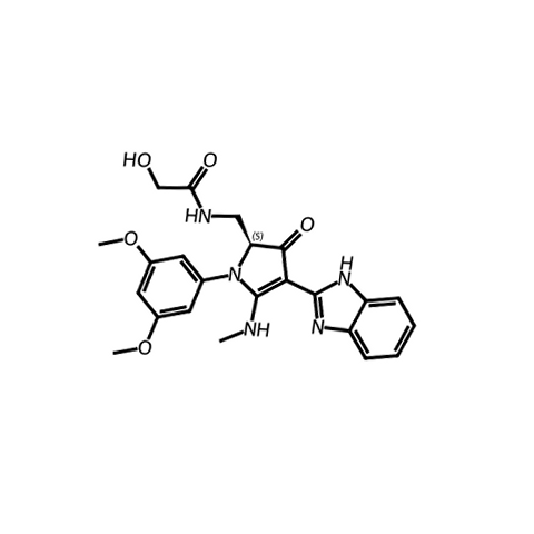 CNC1=C(c2nc3ccccc3[nH]2)C(=O)[C@H](CNC(=O)CO)N1c1cc(OC)cc(OC)c1